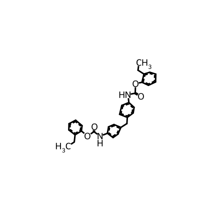 CCc1ccccc1OC(=O)Nc1ccc(Cc2ccc(NC(=O)Oc3ccccc3CC)cc2)cc1